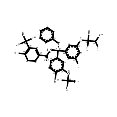 O=C(N[C@@](Cc1ccccc1)(c1cc(F)cc(OC(F)(F)C(F)F)c1)c1ccc(F)c(OC(F)(F)F)c1)C1=CC(C(F)(F)F)=C(F)CC1